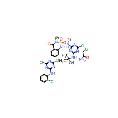 CC(C)N1C(=O)c2ccccc2NS1(=O)=O.CCNc1nc(Cl)nc(NC(C)(C)C#N)n1.Clc1nc(Cl)nc(Nc2ccccc2Cl)n1.NC(=O)CCl